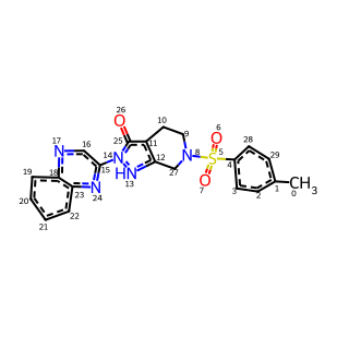 Cc1ccc(S(=O)(=O)N2CCc3c([nH]n(-c4cnc5ccccc5n4)c3=O)C2)cc1